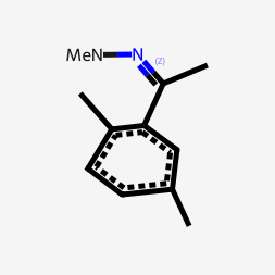 CN/N=C(/C)c1cc(C)ccc1C